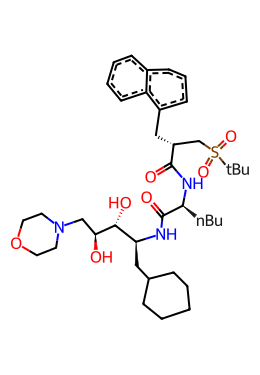 CCCC[C@H](NC(=O)[C@H](Cc1cccc2ccccc12)CS(=O)(=O)C(C)(C)C)C(=O)N[C@@H](CC1CCCCC1)[C@@H](O)[C@@H](O)CN1CCOCC1